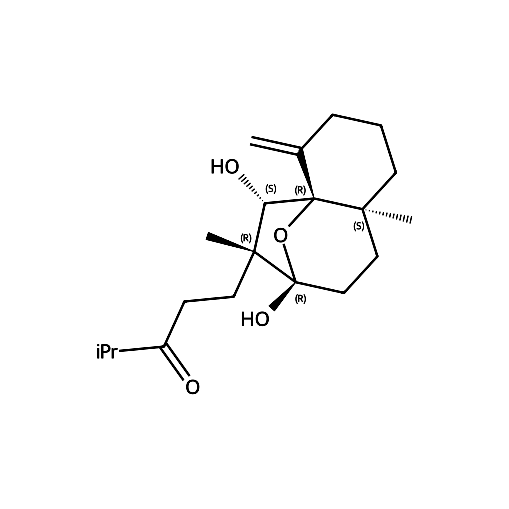 C=C1CCC[C@@]2(C)CC[C@@]3(O)O[C@@]12[C@@H](O)[C@@]3(C)CCC(=O)C(C)C